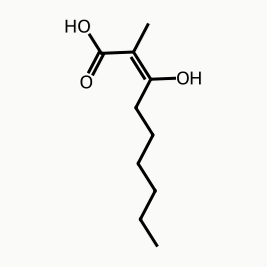 CCCCCCC(O)=C(C)C(=O)O